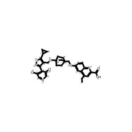 CCc1cc(C(=O)O)nc2ccc(OCC34CCC(OCc5c(-c6c(Cl)cncc6Cl)noc5C5CC5)(CC3)CC4)cc12